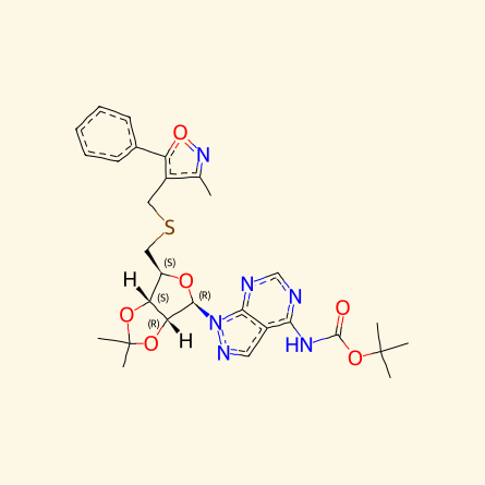 Cc1noc(-c2ccccc2)c1CSC[C@H]1O[C@@H](n2ncc3c(NC(=O)OC(C)(C)C)ncnc32)[C@@H]2OC(C)(C)O[C@@H]21